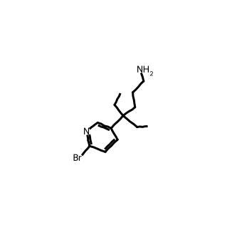 CCC(CC)(CCCN)c1ccc(Br)nc1